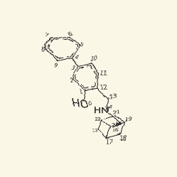 Oc1cc(-c2ccccc2)ccc1CNC1=C2C3CC(C1)CC2C3